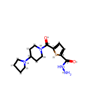 NNC(=O)c1ccc(C(=O)N2CCC(N3CCCC3)CC2)s1